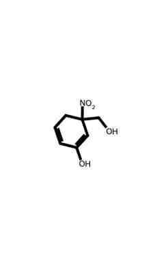 O=[N+]([O-])C1(CO)C=C(O)C=CC1